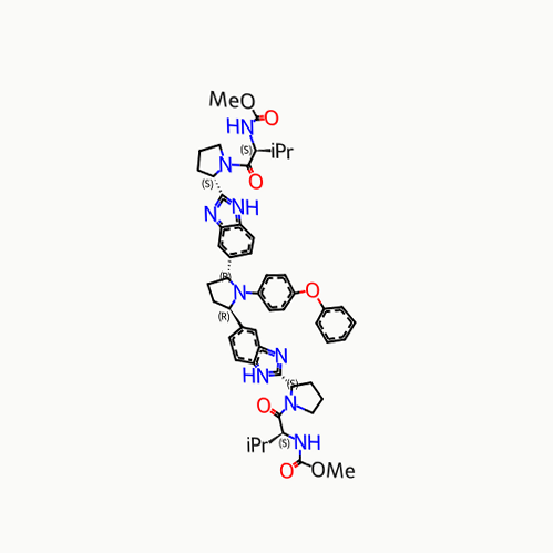 COC(=O)N[C@H](C(=O)N1CCC[C@H]1c1nc2cc([C@H]3CC[C@H](c4ccc5[nH]c([C@@H]6CCCN6C(=O)[C@@H](NC(=O)OC)C(C)C)nc5c4)N3c3ccc(Oc4ccccc4)cc3)ccc2[nH]1)C(C)C